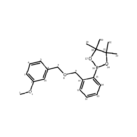 COc1cccc(COCc2ccccc2B2OC(C)(C)C(C)(C)O2)c1